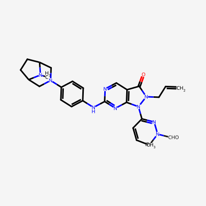 C=CCn1c(=O)c2cnc(Nc3ccc(N4CC5CCC(C4)N5C)cc3)nc2n1C(/C=C\C)=N/N(C=O)C(C)C